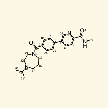 CNC(=O)c1ccc(-c2ccc(C(=O)N3CCCN(C(C)C)CC3)cc2)cn1